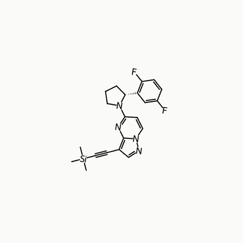 C[Si](C)(C)C#Cc1cnn2ccc(N3CCC[C@@H]3c3cc(F)ccc3F)nc12